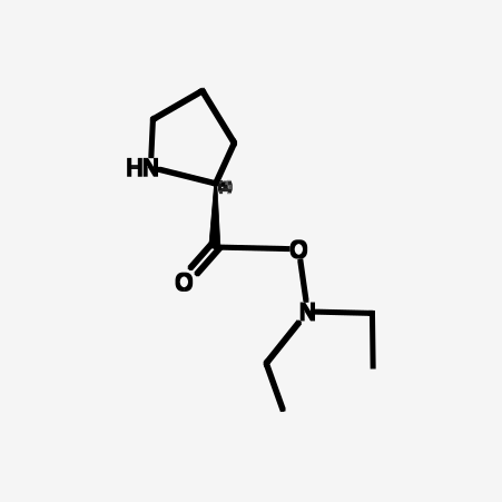 CCN(CC)OC(=O)[C@@H]1CCCN1